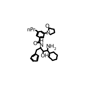 CCCc1cc(C(=O)NC(Cc2ccccc2)C(O)C(N)C2CCCCC2)cc(N2CCCC2=O)c1